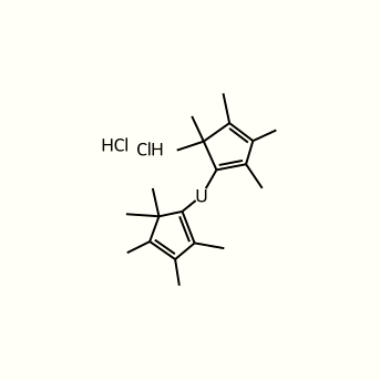 CC1=C(C)C(C)(C)[C]([U][C]2=C(C)C(C)=C(C)C2(C)C)=C1C.Cl.Cl